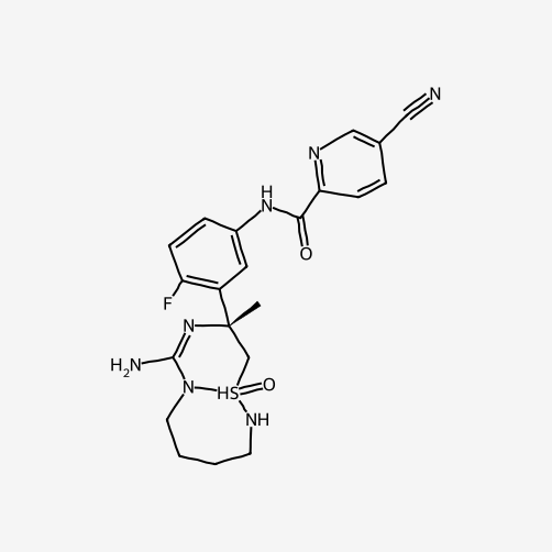 C[C@@]1(c2cc(NC(=O)c3ccc(C#N)cn3)ccc2F)C[SH]2(=O)NCCCCN2C(N)=N1